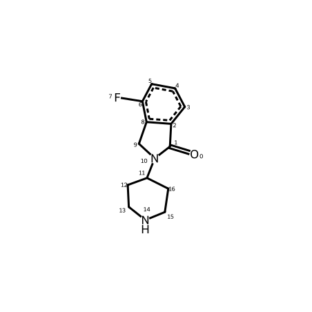 O=C1c2cccc(F)c2CN1C1CCNCC1